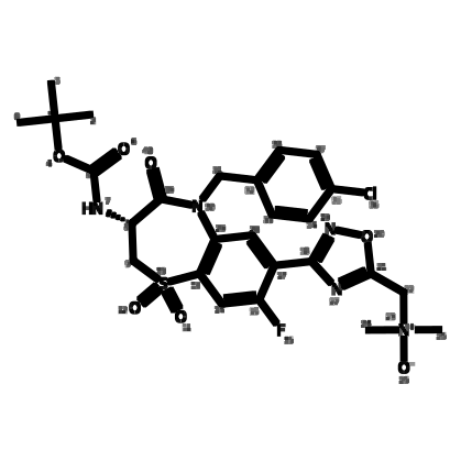 CC(C)(C)OC(=O)N[C@H]1CS(=O)(=O)c2cc(F)c(-c3noc(C[N+](C)(C)[O-])n3)cc2N(Cc2ccc(Cl)cc2)C1=O